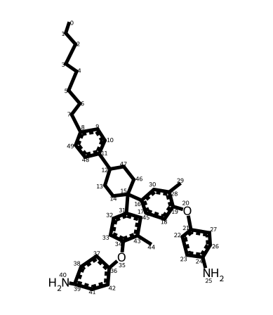 CCCCCCCCc1ccc(C2CCC(c3ccc(Oc4ccc(N)cc4)c(C)c3)(c3ccc(Oc4ccc(N)cc4)c(C)c3)CC2)cc1